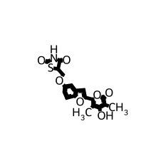 Cc1c(-c2cc3cc(OCC4SC(=O)NC4=O)ccc3o2)oc(=O)c(C)c1O